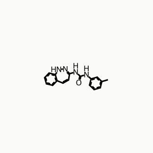 Cc1cccc(NC(=O)NC2=NNc3ccccc3C=C2)c1